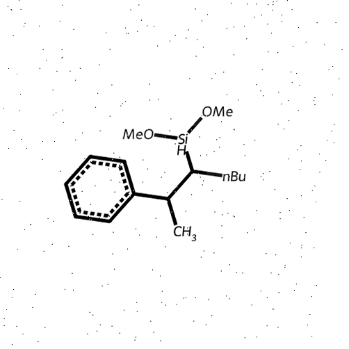 CCCCC(C(C)c1ccccc1)[SiH](OC)OC